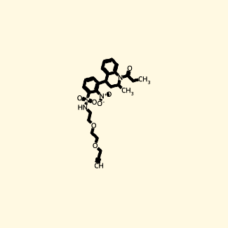 C#CCOCCOCCNS(=O)(=O)c1cccc(C2CC(C)N(C(=O)CC)c3ccccc32)c1[N+](=O)[O-]